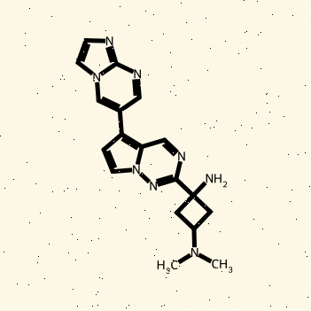 CN(C)C1CC(N)(c2ncc3c(-c4cnc5nccn5c4)ccn3n2)C1